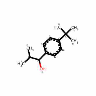 CC(C)C(O)c1ccc(C(C)(C)C)cc1